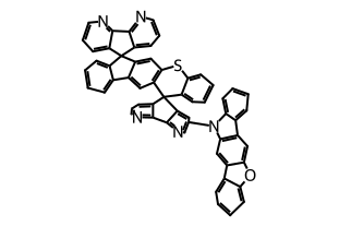 c1ccc2c(c1)Sc1cc3c(cc1C21c2cccnc2-c2ncc(-n4c5ccccc5c5cc6oc7ccccc7c6cc54)cc21)-c1ccccc1C31c2cccnc2-c2ncccc21